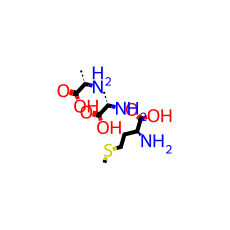 CSCC[C@H](N)C(=O)O.C[C@H](N)C(=O)O.C[C@H](N)C(=O)O